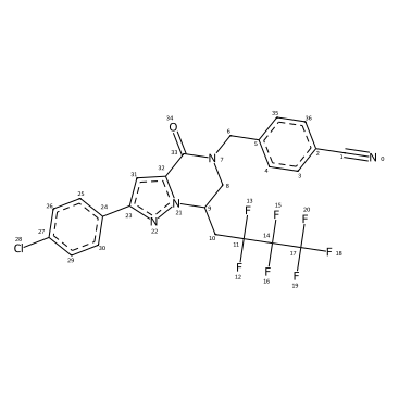 N#Cc1ccc(CN2CC(CC(F)(F)C(F)(F)C(F)(F)F)n3nc(-c4ccc(Cl)cc4)cc3C2=O)cc1